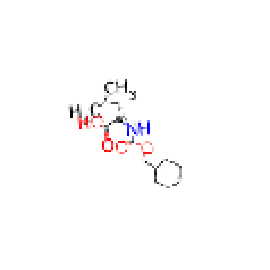 CC(C)C[C@H](NC(=O)OCC1CCCCC1)C(=O)O